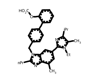 CCCc1nc2c(C)cc(-c3nc(C(C)C)c(C)n3CC)cc2n1Cc1ccc(-c2ccccc2OC(=O)O)cc1